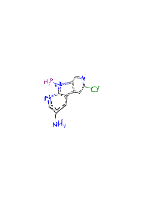 Nc1cnc2c(c1)c1cc(Cl)ncc1n2P